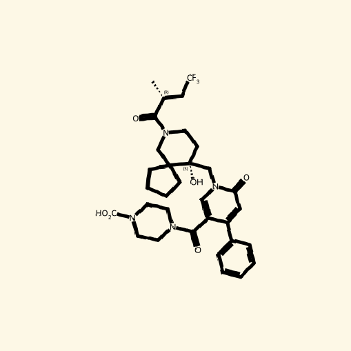 C[C@H](CC(F)(F)F)C(=O)N1CC[C@@](O)(Cn2cc(C(=O)N3CCN(C(=O)O)CC3)c(-c3ccccc3)cc2=O)C2(CCCC2)C1